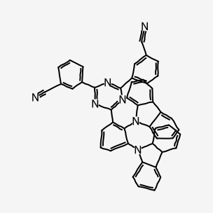 N#Cc1cccc(-c2nc(-c3cccc(C#N)c3)nc(-c3cccc(N4c5ccccc5C5C=CC=CC54)c3-n3c4ccccc4c4ccccc43)n2)c1